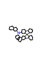 c1ccc(N(c2ccc3c(c2)C2(c4ccccc4-3)c3ccccc3-c3cc4ccccc4cc32)c2ccc3ccccc3c2)cc1